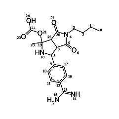 CCCCN1C(=O)C2C(c3ccc(C(=N)N)cc3)NC(C)(OC(=O)O)C2C1=O